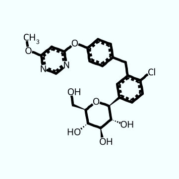 COc1cc(Oc2ccc(Cc3cc([C@@H]4O[C@H](CO)[C@@H](O)[C@H](O)[C@H]4O)ccc3Cl)cc2)ncn1